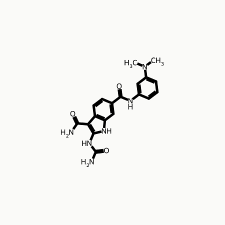 CN(C)c1cccc(NC(=O)c2ccc3c(C(N)=O)c(NC(N)=O)[nH]c3c2)c1